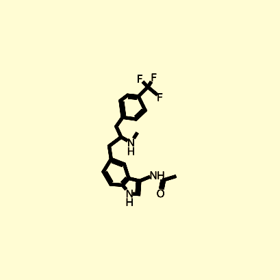 CNC(Cc1ccc(C(F)(F)F)cc1)Cc1ccc2[nH]cc(NC(C)=O)c2c1